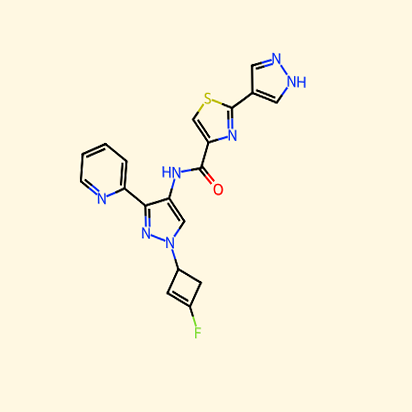 O=C(Nc1cn(C2C=C(F)C2)nc1-c1ccccn1)c1csc(-c2cn[nH]c2)n1